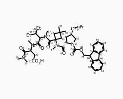 CCCO[C@@H]1C[C@@H](C(=O)N(C)C2(C(=O)N(C)C(C(=O)N(C)C(CC(=O)O)C(=O)N(C)C)C(CC)CC)CC(C)(C)C2)N(C(=O)OCC2c3ccccc3-c3ccccc32)C1